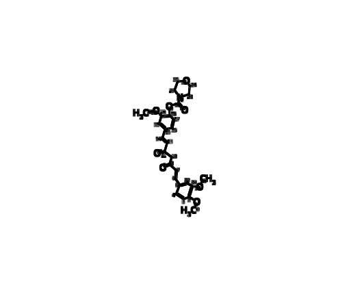 COc1ccc(/C=C/C(=O)CC(=O)/C=C/c2ccc(OC(=O)N3CCOCC3)c(OC)c2)cc1OC